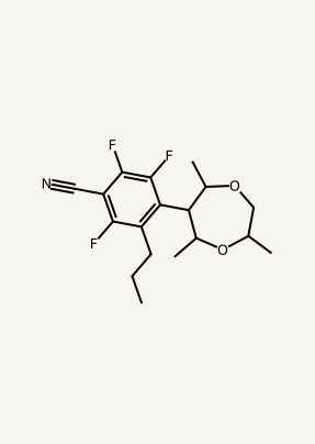 CCCc1c(F)c(C#N)c(F)c(F)c1C1C(C)OCC(C)OC1C